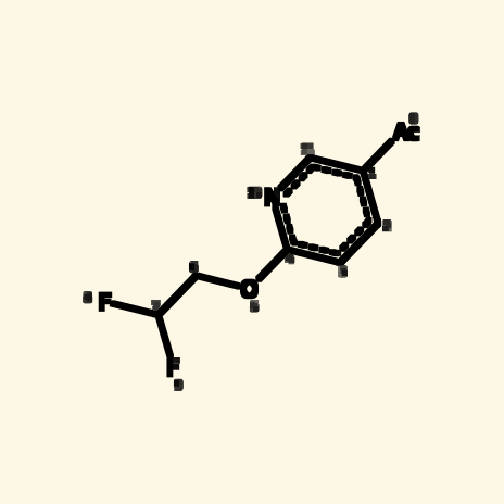 CC(=O)c1ccc(OCC(F)F)nc1